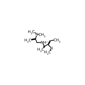 C=N/C(=C\C)C(=C)NCC(=C)N(C)C